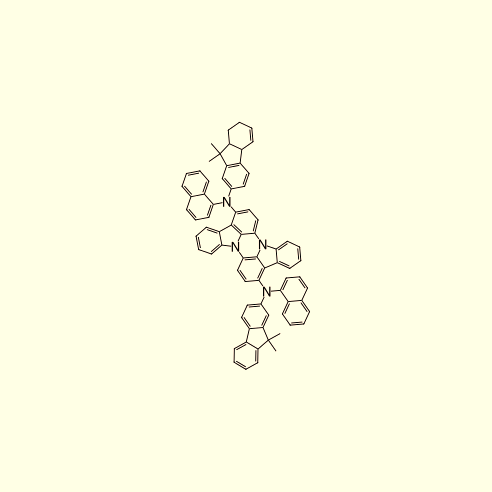 CC1(C)c2ccccc2-c2ccc(N(c3cccc4ccccc34)c3ccc4c5c3c3ccccc3n5c3ccc(N(c5ccc6c(c5)C(C)(C)C5CCC=CC65)c5cccc6ccccc56)c5c6ccccc6n4c53)cc21